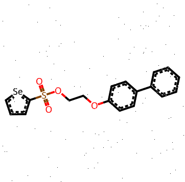 O=S(=O)(OCCOc1ccc(-c2ccccc2)cc1)c1ccc[se]1